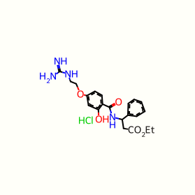 CCOC(=O)CC(NC(=O)c1ccc(OCCNC(=N)N)cc1O)c1ccccc1.Cl